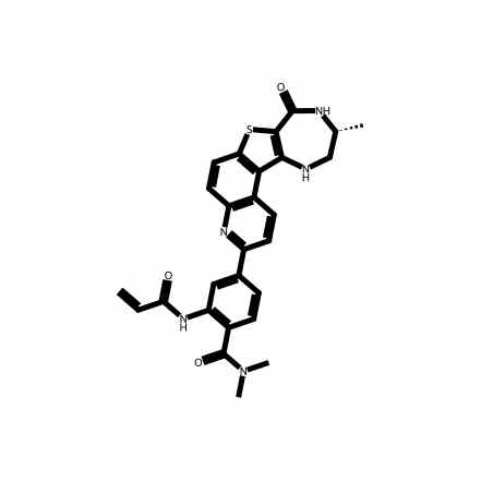 C=CC(=O)Nc1cc(-c2ccc3c(ccc4sc5c(c43)NC[C@@H](C)NC5=O)n2)ccc1C(=O)N(C)C